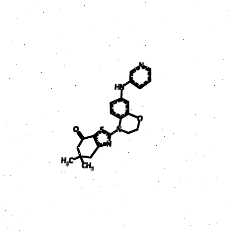 CC1(C)CC(=O)c2sc(N3CCOc4cc(Nc5cccnc5)ccc43)nc2C1